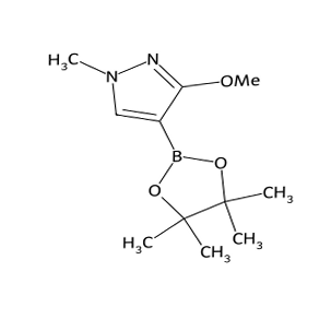 COc1nn(C)cc1B1OC(C)(C)C(C)(C)O1